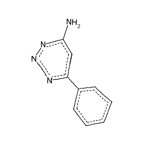 Nc1cc(-c2ccccc2)nnn1